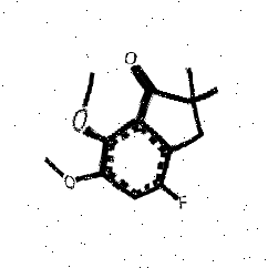 COc1cc(F)c2c(c1OC)C(=O)C(C)(C)C2